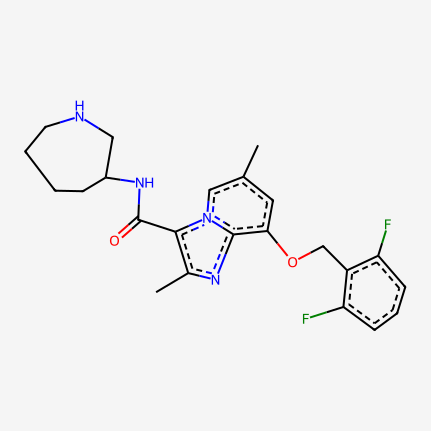 Cc1cc(OCc2c(F)cccc2F)c2nc(C)c(C(=O)NC3CCCCNC3)n2c1